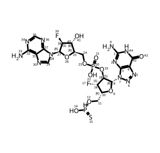 Nc1nc2c(nnn2[C@@H]2O[C@H](CO[PH](O)=S)[C@H](F)[C@H]2OP(=O)(O)OC[C@H]2O[C@@H](n3cnc4c(N)ncnc43)[C@@H](F)[C@@H]2O)c(=O)[nH]1